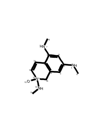 CNc1cc2c(c(NC)c1)C=C[N+]([O-])(NC)C2